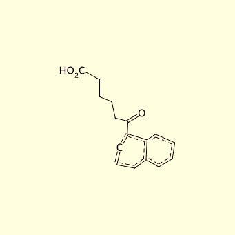 O=C(O)CCCCC(=O)c1cccc2ccccc12